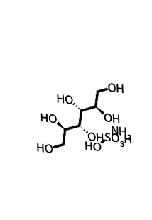 N.O=S(=O)(O)O.OC[C@@H](O)[C@@H](O)[C@H](O)[C@H](O)CO